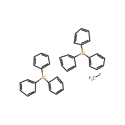 FC(F)(F)F.c1ccc([S+](c2ccccc2)c2ccccc2)cc1.c1ccc([S+](c2ccccc2)c2ccccc2)cc1